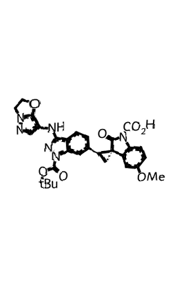 COc1ccc2c(c1)[C@]1(C[C@H]1c1ccc3c(Nc4cnn5c4OCC5)nn(C(=O)OC(C)(C)C)c3c1)C(=O)N2C(=O)O